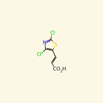 O=C(O)C=Cc1sc(Cl)nc1Cl